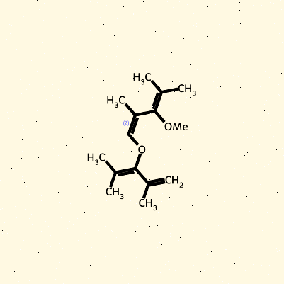 C=C(C)C(O/C=C(/C)C(OC)=C(C)C)=C(C)C